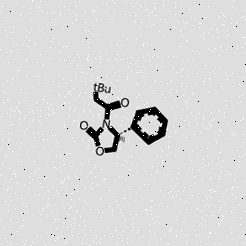 CC(C)(C)CC(=O)N1C(=O)OC[C@H]1c1ccccc1